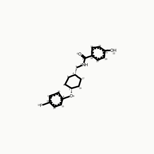 O=C(NC[C@H]1CC[C@@H](Oc2ccc(F)cc2)CC1)c1ccc(O)cc1